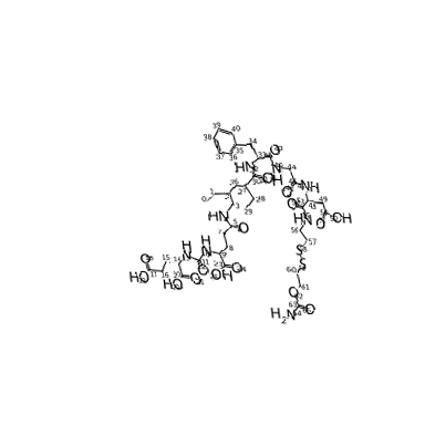 CCC(CNC(=O)CCC(NC(=O)N[C@@H](CCC(=O)O)C(=O)O)C(=O)O)CC(CC)C(=O)N[C@@H](Cc1ccccc1)C(=O)NCC(=O)N[C@@H](CC(=O)O)C(=O)NCCSSCCOC(N)=O